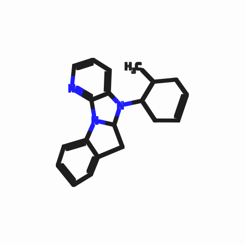 CC1CC=CCC1N1c2cccnc2N2c3ccccc3CC21